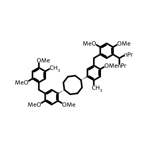 CCCC(CCC)c1cc(Cc2cc([C@H]3CCC[C@@H](c4cc(Cc5cc(C)c(OC)cc5OC)c(OC)cc4OC)CCC3)c(C)cc2OC)c(OC)cc1OC